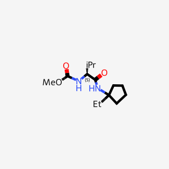 CCC1(NC(=O)[C@@H](NC(=O)OC)C(C)C)CCCC1